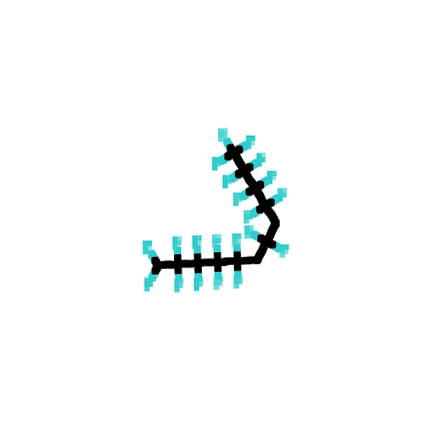 F[C](F)C(F)(F)C(F)(F)C(F)(F)C(F)(F)CC(F)(F)CC(F)(F)C(F)(F)C(F)(F)C(F)(F)F